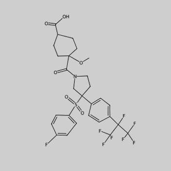 COC1(C(=O)N2CCC(c3ccc(C(F)(C(F)(F)F)C(F)(F)F)cc3)(S(=O)(=O)c3ccc(F)cc3)C2)CCC(C(=O)O)CC1